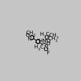 COc1ccc(-c2ccc([C@H](C)[C@H](NC(=O)OC(C)(C)C)C(=O)N3CC[C@H](F)C3)cc2)cn1